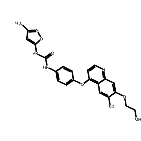 COCCOc1cc2nccc(Oc3ccc(NC(=O)Nc4cc(C)no4)cc3)c2cc1C#N